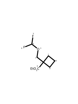 CCOC(=O)C1(COC(F)F)CCC1